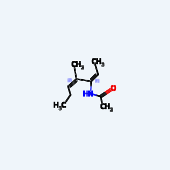 C/C=C(NC(C)=O)\C(C)=C/CC